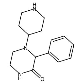 O=C1NCCN(C2CCNCC2)C1c1ccccc1